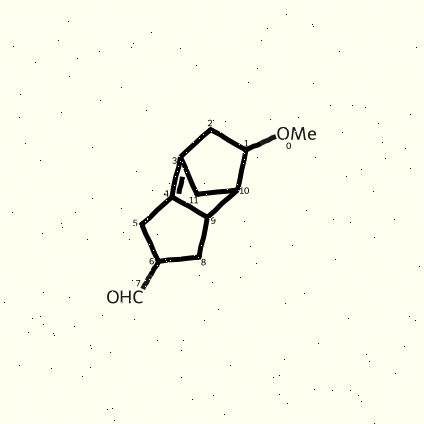 COC1CC2=C3CC(C=O)CC3C1C2